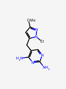 CCn1nc(OC)cc1Cc1cnc(N)nc1N